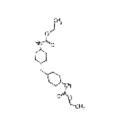 CCOC(=O)NC1CCC(CC2CCC(NC(=O)OCC)CC2)CC1